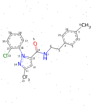 Cc1ccc(CCNC(=O)c2cc(C(F)(F)F)nn2-c2ccccc2Cl)cc1